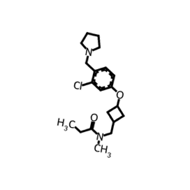 CCC(=O)N(C)CC1CC(Oc2ccc(CN3CCCC3)c(Cl)c2)C1